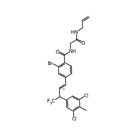 C=CCNC(=O)CNC(=O)c1ccc(/C=C/C(c2cc(Cl)c(C)c(Cl)c2)C(F)(F)F)cc1Br